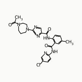 CC(=O)N1CCCN(c2cnc(C(=O)Nc3ccc(C)cc3C(=O)Nc3ccc(Cl)cn3)cn2)CC1